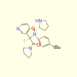 CC(C)(C)c1ccc(N(C(=O)[C@H]2CCCN2)C(F)(C(=O)N2CCCC2)c2cccnc2)cc1